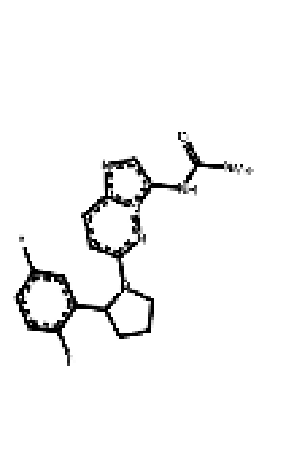 CNC(=O)Nc1cnc2ccc(N3CCCC3c3cc(F)ccc3F)nn12